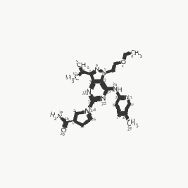 CCOCCn1nc(C(C)C)c2nc(N3CC[C@@H](C(N)=O)C3)nc(Nc3ccc(C)cn3)c21